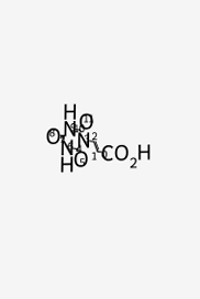 O=C(O)C=Cn1c(=O)[nH]c(=O)[nH]c1=O